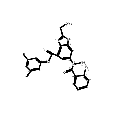 COCc1nc2c(C(=O)Nc3cc(C)cc(C)c3)cc(N(N)C(=O)c3ccccc3C(F)(F)F)cc2[nH]1